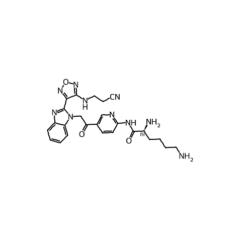 N#CCCNc1nonc1-c1nc2ccccc2n1CC(=O)c1ccc(NC(=O)[C@@H](N)CCCCN)nc1